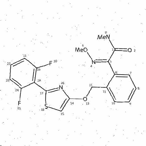 CNC(=O)C(=NOC)c1ccccc1COc1csc(-c2c(F)cccc2F)n1